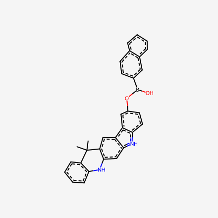 CC1(C)c2ccccc2Nc2cc3[nH]c4ccc(OB(O)c5ccc6ccccc6c5)cc4c3cc21